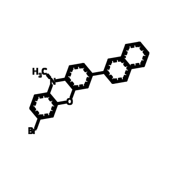 CN1c2ccc(Br)cc2Oc2cc(-c3ccc4ccccc4c3)ccc21